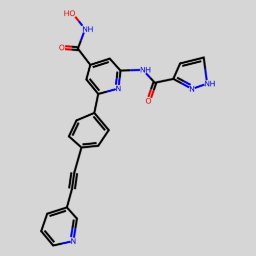 O=C(NO)c1cc(NC(=O)c2cc[nH]n2)nc(-c2ccc(C#Cc3cccnc3)cc2)c1